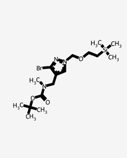 CN(Cc1cn(COCC[Si](C)(C)C)nc1Br)C(=O)OC(C)(C)C